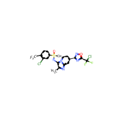 Cc1nc2cc(-c3noc(C(F)(F)Cl)n3)ccn2c1N=S(C)(=O)c1ccc(C(F)(F)F)c(Cl)c1